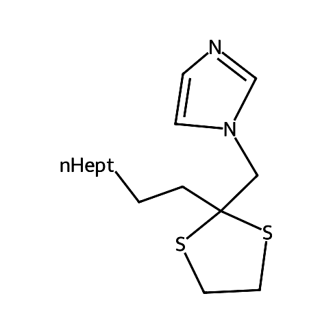 CCCCCCCCCC1(Cn2ccnc2)SCCS1